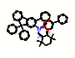 C=C(C)/C=C1\C(=C/N(c2ccc(-c3ccccc3)cc2)c2cc3c(cc2-c2ccccc2)-c2ccccc2C3(c2ccccc2)c2ccccc2)C(C)(C)CCC1(C)C